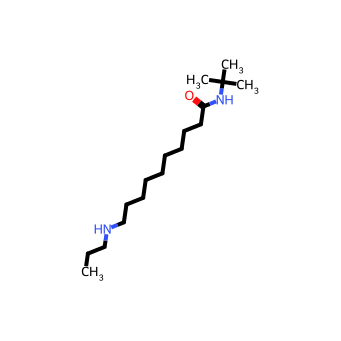 CCCNCCCCCCCCCC(=O)NC(C)(C)C